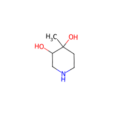 CC1(O)CCNCC1O